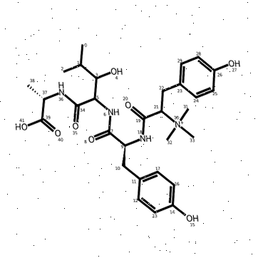 CC(C)C(O)C(NC(=O)[C@H](Cc1ccc(O)cc1)NC(=O)C(Cc1ccc(O)cc1)[N+](C)(C)C)C(=O)N[C@@H](C)C(=O)O